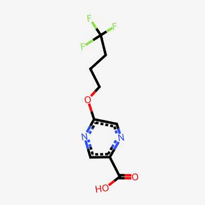 O=C(O)c1cnc(OCCCC(F)(F)F)cn1